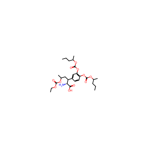 CCCC(C)OC(=O)Oc1ccc(C(CC(C)OC(=O)OCC)[C@H](N)C(=O)O)cc1OC(=O)OC(C)CCC